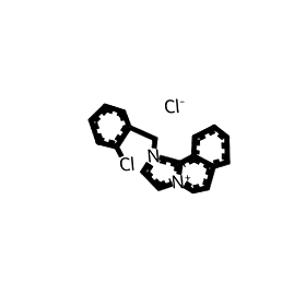 Clc1ccccc1Cn1cc[n+]2ccc3ccccc3c12.[Cl-]